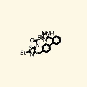 CCC(=O)N=c1sc(CC)nn1Cc1ccc(-c2ccccc2-c2nnn[nH]2)cc1